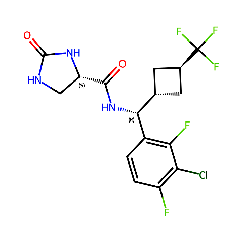 O=C1NC[C@@H](C(=O)N[C@@H](c2ccc(F)c(Cl)c2F)[C@H]2C[C@H](C(F)(F)F)C2)N1